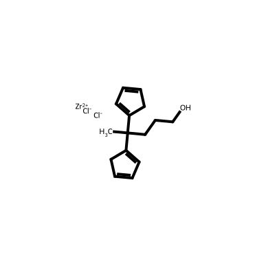 CC(CCCO)(C1=CC=CC1)C1=CC=CC1.[Cl-].[Cl-].[Zr+2]